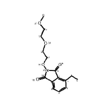 CCc1cccc2c1C(=O)N(OCCOCCOC)C2=O